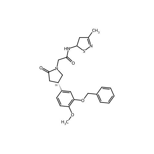 COc1ccc([C@@H]2CC(=O)N(CC(=O)NC3CC(C)=NS3)C2)cc1OCc1ccccc1